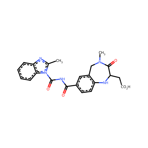 Cc1nc2ccccc2n1C(=O)NC(=O)c1ccc2c(c1)CN(C)C(=O)C(CC(=O)O)N2